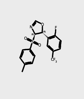 Cc1ccc(S(=O)(=O)[C@H]2N=CO[C@@H]2c2cc(C(F)(F)F)ccc2F)cc1